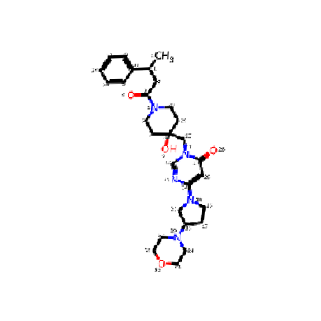 CC(CC(=O)N1CCC(O)(Cn2cnc(N3CCC(N4CCOCC4)C3)cc2=O)CC1)c1ccccc1